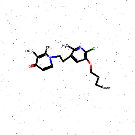 CCOC(=O)c1c(C)n(CCc2cc(OCCCOC)c(Cl)nc2C)ccc1=O